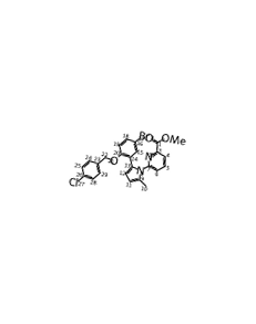 COC(=O)c1cccc(-n2c(C)ccc2-c2cc(Br)ccc2OCc2ccc(Cl)cc2)n1